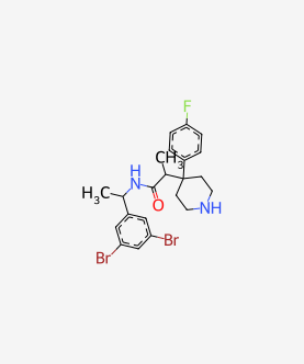 CC(NC(=O)C(C)C1(c2ccc(F)cc2)CCNCC1)c1cc(Br)cc(Br)c1